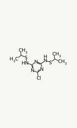 CC(C)SNc1nc(Cl)nc(NSC(C)C)n1